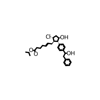 CC(C)OC(=O)CCCC=CC[C@@H]1[C@@H](c2ccc(C(O)Cc3ccccc3)cc2)[C@H](O)C[C@H]1Cl